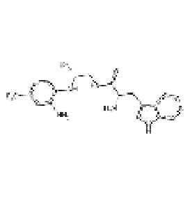 CC(C)[C@H](CNC(=O)[C@@H](N)Cc1c[nH]c2ccccc12)Nc1ccc(C(F)(F)F)cc1N